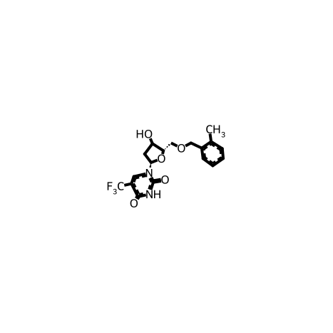 Cc1ccccc1COC[C@@H]1O[C@H](n2cc(C(F)(F)F)c(=O)[nH]c2=O)CC1O